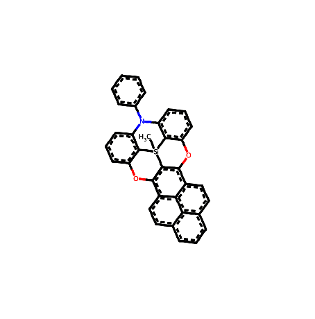 C[Si]12c3c4cccc3N(c3ccccc3)c3cccc(c31)Oc1c2c(c2ccc3cccc5ccc1c2c35)O4